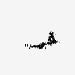 CN(I)CCCCCCCCCCCN1NNC2CC[C@@H]3C(COC(=O)NCCOCCOCCNC(=O)c4ccc(C(c5cccc(C(=O)O)n5)N5CCOCCOCCN(Cc6cccc(C(=O)O)n6)CCOCCOCC5)cc4)[C@@H]3CCC21